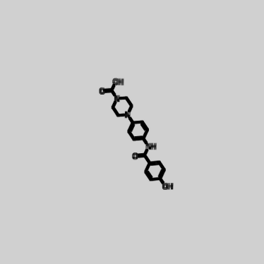 O=C(Nc1ccc(N2CCN(C(=O)O)CC2)cc1)c1ccc(O)cc1